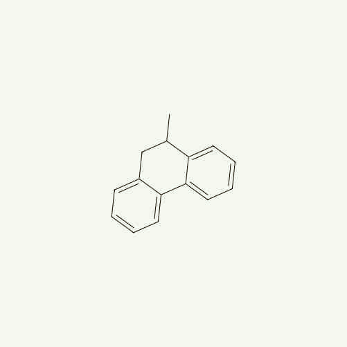 CC1Cc2ccccc2-c2ccccc21